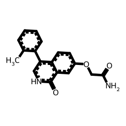 Cc1ccccc1-c1c[nH]c(=O)c2cc(OCC(N)=O)ccc12